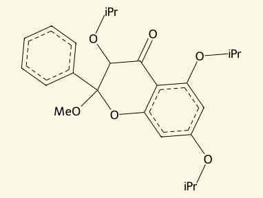 COC1(c2ccccc2)Oc2cc(OC(C)C)cc(OC(C)C)c2C(=O)C1OC(C)C